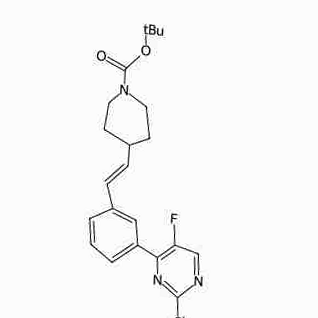 CC(C)(C)OC(=O)N1CCC(/C=C/c2cccc(-c3nc(Cl)ncc3F)c2)CC1